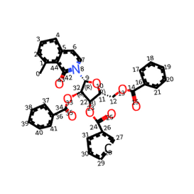 Cc1cccc2ccn([C@@H]3O[C@H](COC(=O)c4ccccc4)[C@@H](OC(=O)c4ccccc4)[C@H]3OC(=O)c3ccccc3)c(=O)c12